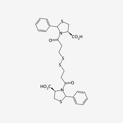 O=C(O)[C@@H]1CSC(c2ccccc2)N1C(=O)CCSSCCC(=O)N1C(c2ccccc2)SC[C@H]1C(=O)O